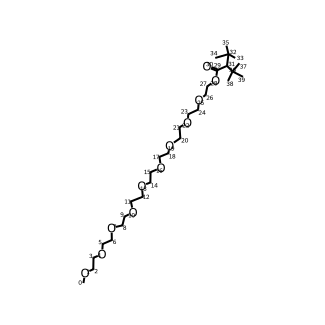 COCCOCCOCCOCCOCCOCCOCCOCCOCCOC(=O)C(C(C)(C)C)C(C)(C)C